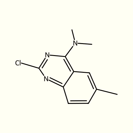 Cc1ccc2nc(Cl)nc(N(C)C)c2c1